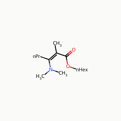 CCCCCCOC(=O)C(C)=C(CCC)N(C)C